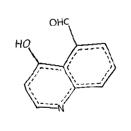 O=Cc1cccc2nccc(O)c12